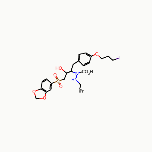 CC(C)CNN(C(=O)O)C(Cc1ccc(OCCCI)cc1)C(O)CS(=O)(=O)c1ccc2c(c1)OCO2